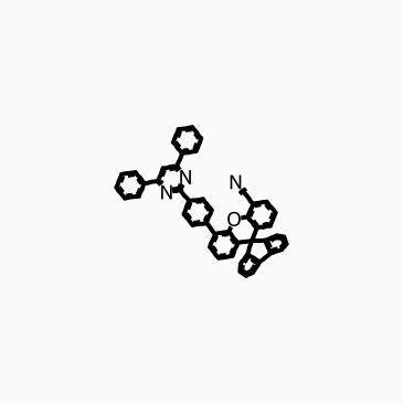 N#Cc1cccc2c1Oc1c(-c3ccc(-c4nc(-c5ccccc5)cc(-c5ccccc5)n4)cc3)cccc1C21c2ccccc2-c2ccccc21